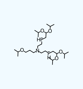 CC(C)OCCCN(CCPCC(OC(C)C)OC(C)C)CCPCC(OC(C)C)OC(C)C